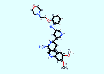 COc1cc2ncc3c(N)nc(-c4cncc(Nc5ccccc5OCCN5CCOCC5)c4)cc3c2cc1OC